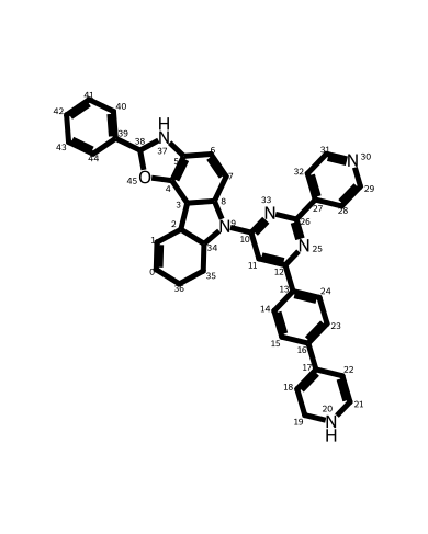 C1=CC2C3C4=C(C=CC3N(c3cc(-c5ccc(C6=CCNC=C6)cc5)nc(-c5ccncc5)n3)C2CC1)NC(c1ccccc1)O4